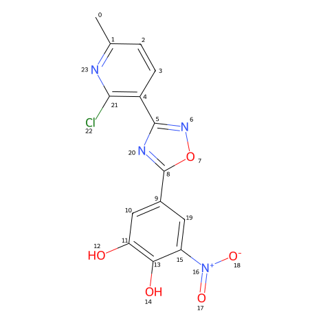 Cc1ccc(-c2noc(-c3cc(O)c(O)c([N+](=O)[O-])c3)n2)c(Cl)n1